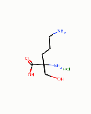 Cl.NCCCC(N)(CO)C(=O)O